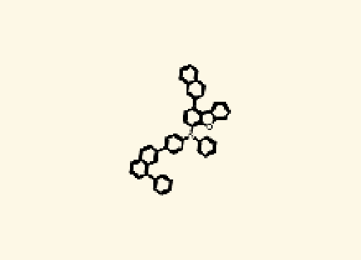 c1ccc(-c2cccc3ccc(-c4ccc(N(c5ccccc5)c5ccc(-c6ccc7ccccc7c6)c6c5oc5ccccc56)cc4)cc23)cc1